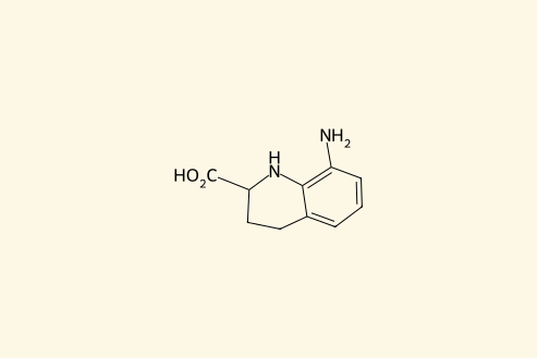 Nc1cccc2c1NC(C(=O)O)CC2